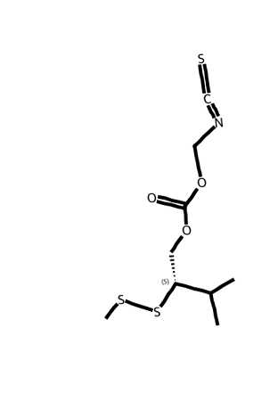 CSS[C@H](COC(=O)OCN=C=S)C(C)C